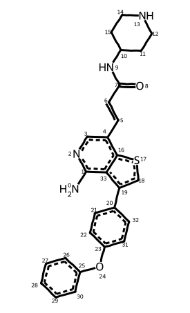 Nc1ncc(C=CC(=O)NC2CCNCC2)c2scc(-c3ccc(Oc4ccccc4)cc3)c12